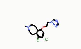 CN1CCc2c(Cl)ccc(OCCn3cncn3)c2CC1.Cl